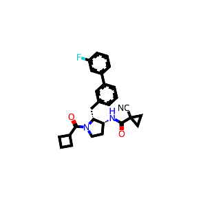 N#CC1(C(=O)N[C@@H]2CCN(C(=O)C3CCC3)[C@@H]2Cc2cccc(-c3cccc(F)c3)c2)CC1